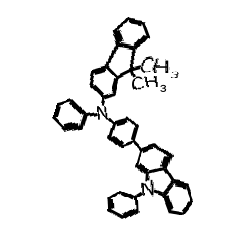 CC1(C)c2ccccc2-c2ccc(N(c3ccccc3)c3ccc(-c4ccc5c6ccccc6n(-c6ccccc6)c5c4)cc3)cc21